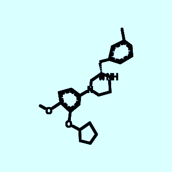 COc1ccc(N2CCN[C@@H](Cc3cccc(C)c3)C2)cc1OC1CCCC1